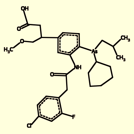 COCC(CC(=O)O)c1ccc([As](CC(C)C)C2CCCCC2)c(NC(=O)Cc2ccc(Cl)cc2F)c1